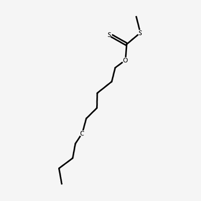 CCCCCCCCCCOC(=S)SC